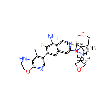 Cc1c(-c2cc3cc(N(C(=O)O)[C@@H]4[C@@H]5COC[C@H]4CN(C4COC4)C5)ncc3c(N)c2F)cnc2c1NCCO2